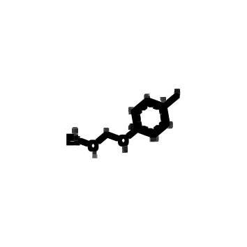 CCOCOc1ccc(C)cc1